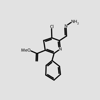 C=C(OC)c1cc(Cl)c(/C=N/N)nc1-c1ccccc1